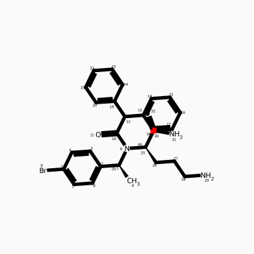 C[C@@H](c1ccc(Br)cc1)N(C(=O)C(c1ccccc1)c1ccccc1)[C@H](CCCN)C(N)=O